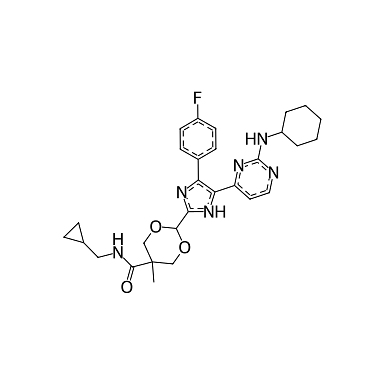 CC1(C(=O)NCC2CC2)COC(c2nc(-c3ccc(F)cc3)c(-c3ccnc(NC4CCCCC4)n3)[nH]2)OC1